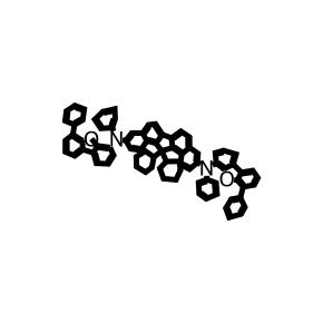 c1ccc(-c2cccc3c2oc2c(N(c4ccccc4)c4ccc5c6c(ccc5c4)-c4ccc5cc(N(c7ccccc7)c7cccc8c7oc7c(-c9ccccc9)cccc78)ccc5c4C6(C4CCCCC4)C4CCCCC4)cccc23)cc1